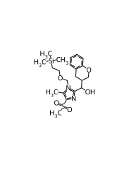 Cc1c(S(C)(=O)=O)nc(C(O)C2COc3ccccc3C2)n1COCC[Si](C)(C)C